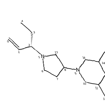 C=C[C@H](CC)N1CCC(N2CC(C)CC(C)C2)C1